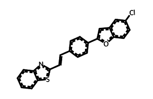 Clc1ccc2oc(-c3ccc(/C=C/c4nc5ccccc5s4)cc3)cc2c1